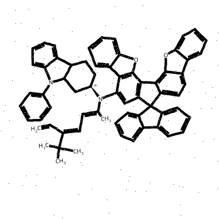 C=C/C(=C\C=C(/C)N(c1cc2c(c3oc4ccccc4c13)-c1c(ccc3c1oc1ccccc13)C21c2ccccc2-c2ccccc21)[C@@H]1CCC2c3ccccc3N(c3ccccc3)C2C1)C(C)(C)C